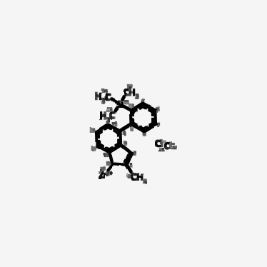 CC1=Cc2c(-c3ccccc3[Si](C)(C)C)cccc2[CH]1[Zr+2].[Cl-].[Cl-]